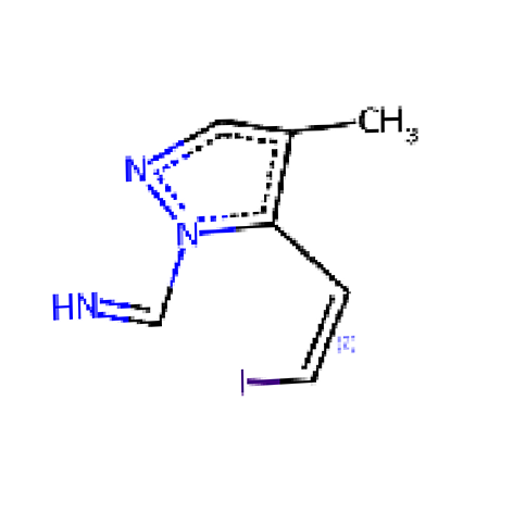 Cc1cnn(C=N)c1/C=C\I